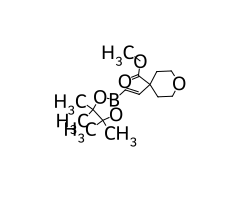 COC(=O)C1(/C=C/B2OC(C)(C)C(C)(C)O2)CCOCC1